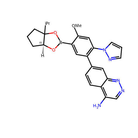 COc1cc(-n2cccn2)c(-c2ccc3c(N)cnnc3c2)cc1B1O[C@H]2CCCC2(C(C)C)O1